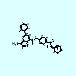 Bc1cnn2c(NCc3ccc(C(=O)NC4CN5CCC4CC5)cc3)cc(-c3ccccc3F)nc12